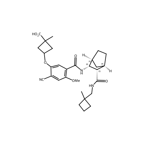 COc1cc(C#N)c(OC2CC(C)(C(=O)O)C2)cc1C(=O)N[C@@H]1[C@H]2CC[C@H](C2)[C@@H]1C(=O)NCC1(C)CCC1